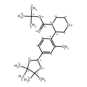 Cc1cc(B2OC(C)(C)C(C)(C)O2)ccc1C1COCCN1C(=O)OC(C)(C)C